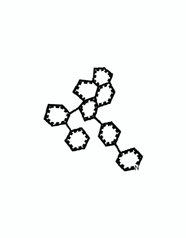 c1ccc(-c2ccccc2-c2cc(-c3ccc(-c4ccncc4)cc3)c3ccc4cccc5ccc2c3c45)cc1